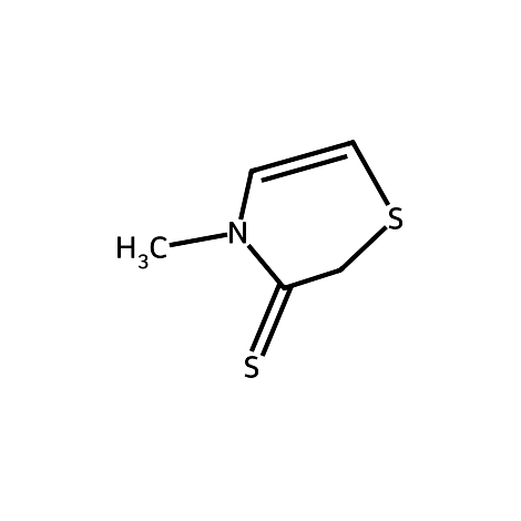 CN1C=CSCC1=S